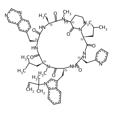 C=CC(C)(C)n1cc(C[C@@H]2NC(=O)[C@H](Cc3ccccn3)NC(=O)[C@H](CC(C)C)N3CCC[C@@H](C3=O)N(C)C(=O)[C@H](C)NC(=O)[C@H](Cc3ccc4ncncc4c3)NC(=O)[C@H](CC(C)C)N(C)C2=O)c2ccccc21